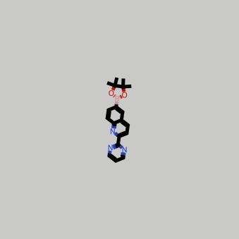 CC1(C)OB(c2ccc3nc(-c4ncccn4)ccc3c2)OC1(C)C